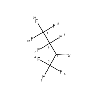 [CH2]C(C(F)(F)F)C(F)(F)C(F)(F)F